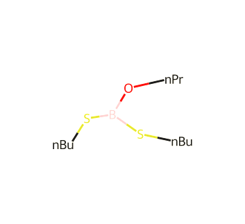 CCCCSB(OCCC)SCCCC